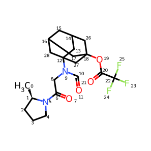 C[C@@H]1CCCN1C(=O)CN(C=O)C12CC3CC(CC(OC(=O)C(F)(F)F)(C3)C1)C2